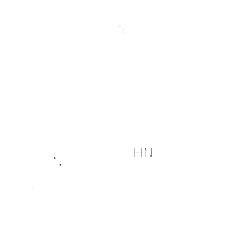 COCCC1(CNC(C)(C)C)CN(C(C)(C)C)C1